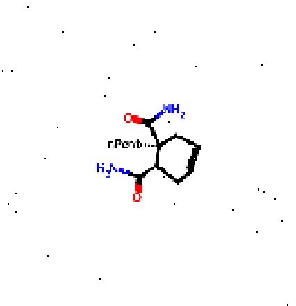 CCCCC[C@]1(C(N)=O)CC=CC[C@H]1C(N)=O